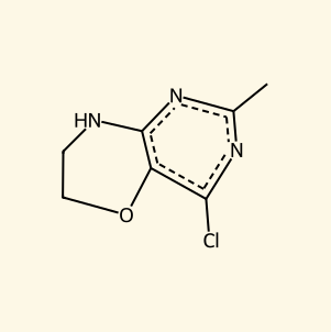 Cc1nc(Cl)c2c(n1)NCCO2